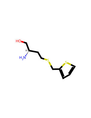 N[C@H](CO)CCSCc1cccs1